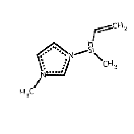 C=C[SiH](C)n1cc[n+](C)c1